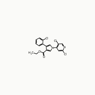 CCOC(=O)c1cn(-c2cc(Cl)ncc2Cl)cc1-c1ccccc1Cl